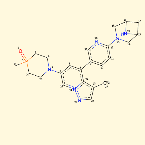 CP1(=O)CCN(c2cc(-c3ccc(N4CC5CC(C4)N5)nc3)c3c(C#N)cnn3c2)CC1